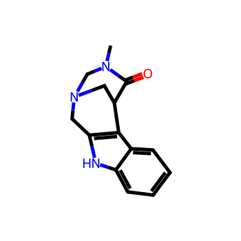 CN1CN2Cc3[nH]c4ccccc4c3C(C2)C1=O